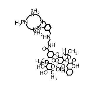 CC[C@@H]1CC(C(=O)NCCNCc2ccc(CN3CCCN(P)CCN(P)CCCN(P)CC3)c(Br)c2)C[C@@H](O[C@@H]2O[C@@H](CO)[C@H](O)C(OC(CC3CCCCC3)C(=O)O)C2NC(C)=O)C1O[C@@H]1OC(C)[C@@H](O)C(O)[C@@H]1O